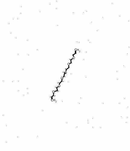 C=CCOCCOCCOCCOCCOCCOCC=C